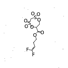 O=C(OCCC=C(F)F)C1COS(=O)(=O)CS(=O)(=O)O1